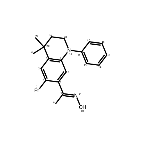 CCc1cc2c(cc1/C(C)=N/O)N(c1ccccc1)CCC2(C)C